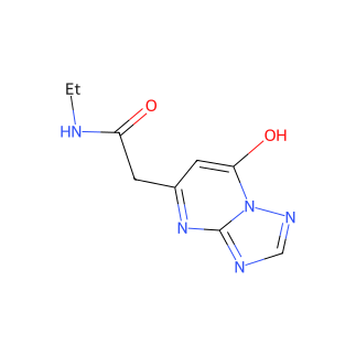 CCNC(=O)Cc1cc(O)n2ncnc2n1